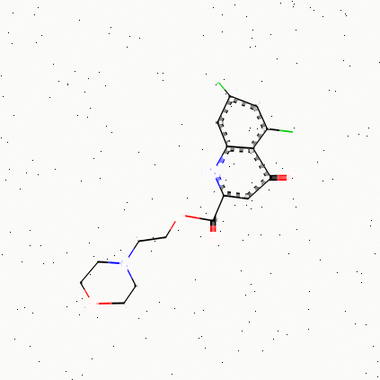 O=C(OCCN1CCOCC1)c1cc(=O)c2c(Cl)cc(Cl)cc2[nH]1